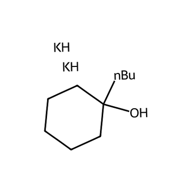 CCCCC1(O)CCCCC1.[KH].[KH]